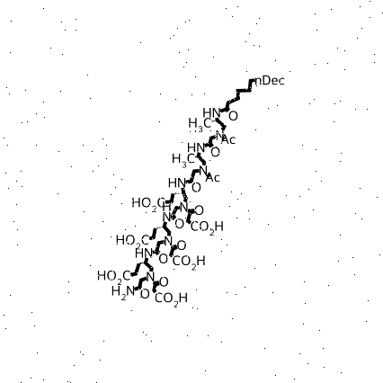 CCCCCCCCCCCCCCCC(=O)N[C@@H](C)CN(CC(=O)N[C@@H](C)CN(CC(=O)N[C@@H](CCC(=O)O)CN(CC(=O)N[C@@H](CCC(=O)O)CN(CC(=O)N[C@@H](CCC(=O)O)CN(CC(N)=O)C(=O)CC(=O)O)C(=O)CC(=O)O)C(=O)CC(=O)O)C(C)=O)C(C)=O